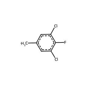 [CH2]c1cc(Cl)c(F)c(Cl)c1